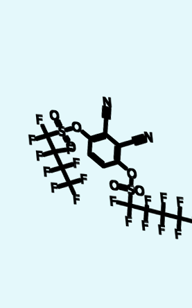 N#Cc1c(OS(=O)(=O)C(F)(F)C(F)(F)C(F)(F)C(F)(F)F)ccc(OS(=O)(=O)C(F)(F)C(F)(F)C(F)(F)C(F)(F)F)c1C#N